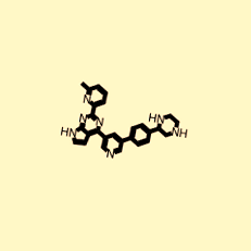 Cc1cccc(-c2nc(-c3cncc(-c4ccc(C5CNCCN5)cc4)c3)c3cc[nH]c3n2)n1